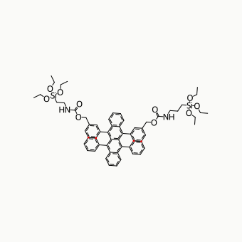 CCO[Si](CCCNC(=O)OCc1cccc(-c2c3ccccc3c(-c3cccc(COC(=O)NCC[Si](OCC)(OCC)OCC)c3)c3c(-c4ccccc4)c4ccccc4c(-c4ccccc4)c23)c1)(OCC)OCC